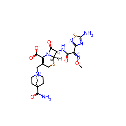 CO/N=C(\C(=O)N[C@@H]1C(=O)N2C(C(=O)[O-])=C(C[N+]34CCC(C(N)=O)(CC3)CC4)CS[C@@H]12)c1nsc(N)n1